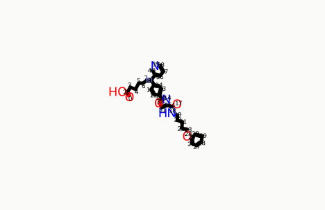 O=C(O)CCCC/C=C(\c1ccc(-c2nc(C(=O)NCCCCCOc3ccccc3)co2)cc1)c1cccnc1